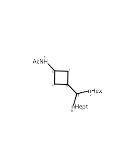 CCCCCCCC(CCCCCC)C1CC(NC(C)=O)C1